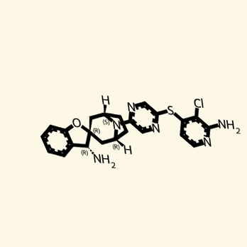 Nc1nccc(Sc2cnc(N3[C@@H]4CC[C@H]3C[C@]3(C4)Oc4ccccc4[C@H]3N)cn2)c1Cl